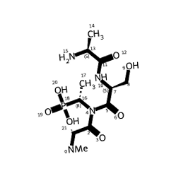 CNCC(=O)N(C(=O)[C@H](CO)NC(=O)[C@H](C)N)[C@@H](C)P(=O)(O)O